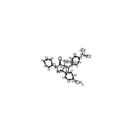 CCN(CC)c1ccc(NC2(NC(C)=O)C(=O)N(c3ccccc3)N=C2c2ccc(C)cc2)cc1